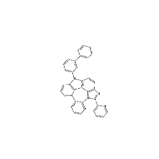 c1ccc(-c2cccc(-n3c4cccc5c6ccccc6n6c(-c7ccccn7)nc7ccc3c(c54)c76)c2)cc1